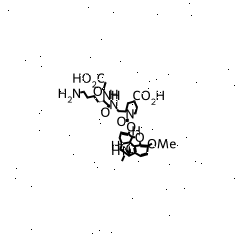 COc1ccc2c3c1O[C@H]1C(OC(=O)N4CCC(C(=O)O)CC4CNC(=O)[C@H](CCCCN)NC(=O)CC(=O)O)=CC[C@H]4[C@@H](C2)N(C)CC[C@]314